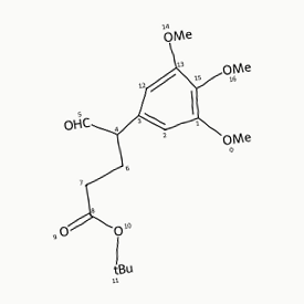 COc1cc(C(C=O)CCC(=O)OC(C)(C)C)cc(OC)c1OC